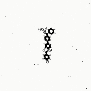 O=C(Nc1ccc(-c2ccc(C(=O)[C@H]3CCCC[C@@H]3C(=O)O)cc2)cc1)c1ccc(Cl)cc1